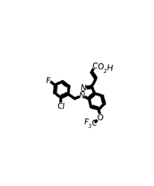 O=C(O)C=Cc1nn(Cc2ccc(F)cc2Cl)c2cc(OC(F)(F)F)ccc12